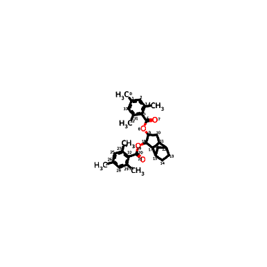 Cc1cc(C)c(C(=O)OC2CC3C4CCC(C4)C3C2OC(=O)c2c(C)cc(C)cc2C)c(C)c1